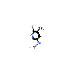 O=C(O)Nc1cnc(Cl)c(C(F)(F)F)c1